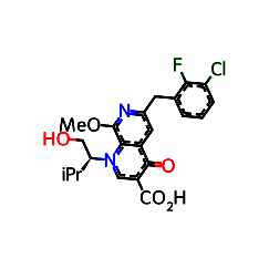 COc1nc(Cc2cccc(Cl)c2F)cc2c(=O)c(C(=O)O)cn([C@H](CO)C(C)C)c12